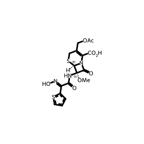 CO[C@@]1(NC(=O)C(=NO)c2cccs2)C(=O)N2C(C(=O)O)=C(COC(C)=O)CS[C@@H]21